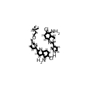 C[Si](C)(C)CCOCn1ccc(-c2ccc3c(N)c(Cl)ccc3n2)n1.Nc1c(Cl)ccc2nc(-c3cc[nH]n3)ccc12